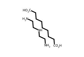 NCCNCCN.O=C(O)CCCCCCCC(=O)O